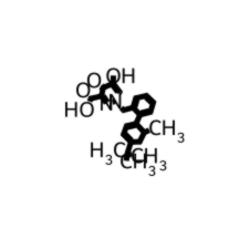 CC1CC(C(C)(C)C)=CC=C1c1ccccc1Cn1cc(O)c(=O)c(C(=O)O)n1